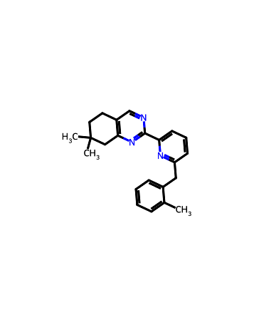 Cc1ccccc1Cc1cccc(-c2ncc3c(n2)CC(C)(C)CC3)n1